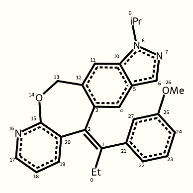 CCC(=C1c2cc3cnn(C(C)C)c3cc2COc2ncccc21)c1cccc(OC)c1